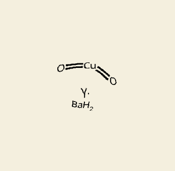 [BaH2].[O]=[Cu]=[O].[Y]